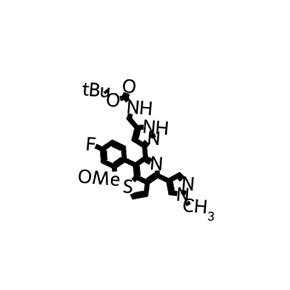 COc1cc(F)ccc1-c1c(-c2cc(CNC(=O)OC(C)(C)C)[nH]n2)nc(-c2cnn(C)c2)c2ccsc12